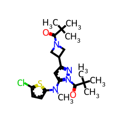 CN(c1ccc(Cl)s1)c1cc(C2CN(C(=O)C(C)(C)C)C2)nn1C(=O)C(C)(C)C